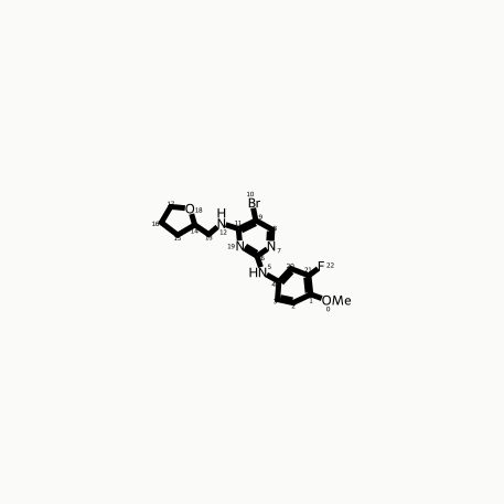 COc1ccc(Nc2ncc(Br)c(NCC3CCCO3)n2)cc1F